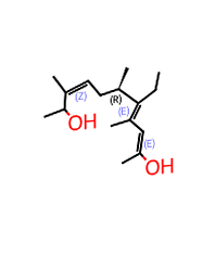 CC/C(=C(C)\C=C(/C)O)[C@H](C)C/C=C(/C)C(C)O